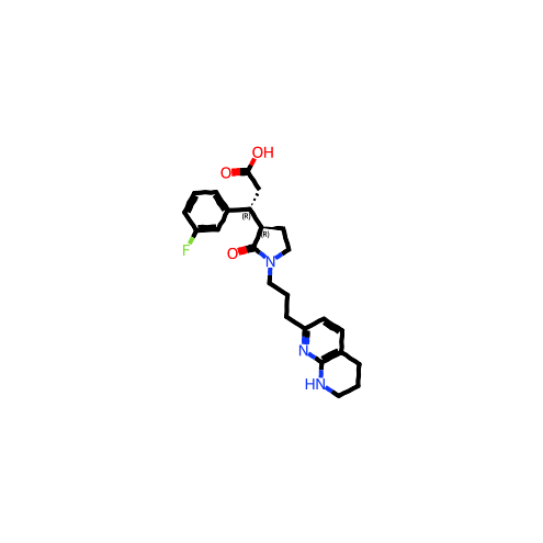 O=C(O)C[C@@H](c1cccc(F)c1)[C@H]1CCN(CCCc2ccc3c(n2)NCCC3)C1=O